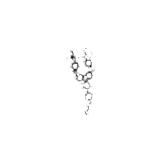 C=CC(=O)Oc1ccc(Oc2ccc(C3(c4ccc(Oc5ccc(OC(=O)C=C)cc5)cc4)CCC(C4CCC(CCCCC)CC4)CC3)cc2)cc1